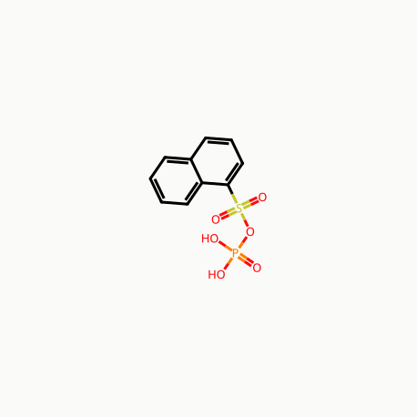 O=P(O)(O)OS(=O)(=O)c1cccc2ccccc12